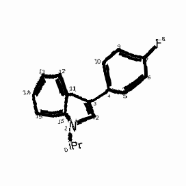 CC(C)n1[c]c(-c2ccc(F)cc2)c2ccccc21